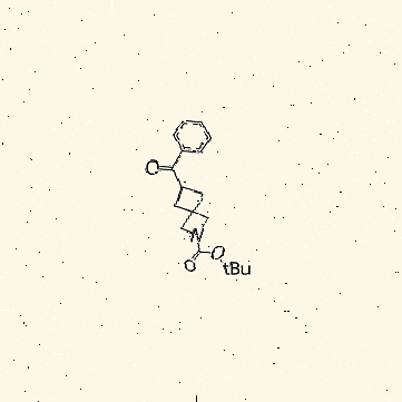 CC(C)(C)OC(=O)N1CC2(CC(C(=O)c3ccccc3)C2)C1